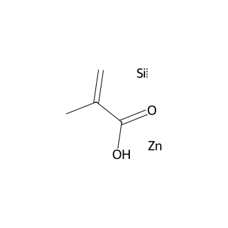 C=C(C)C(=O)O.[Si].[Zn]